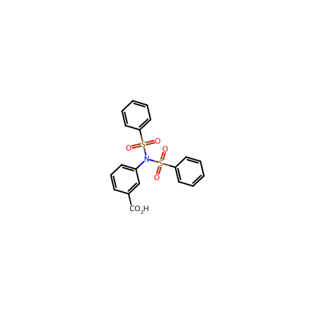 O=C(O)c1cccc(N(S(=O)(=O)c2ccccc2)S(=O)(=O)c2ccccc2)c1